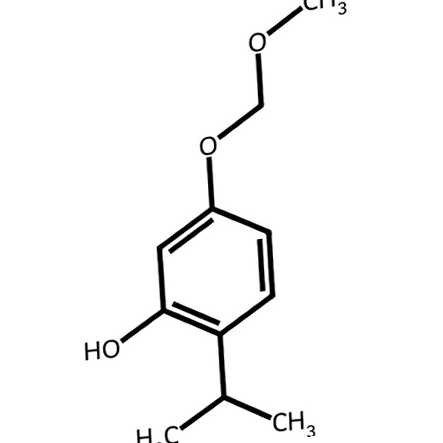 COCOc1ccc(C(C)C)c(O)c1